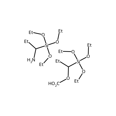 CCO[Si](OCC)(OCC)C(CC)OC(=O)O.CCO[Si](OCC)(OCC)C(N)CC